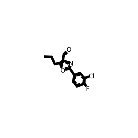 CCCc1oc(-c2ccc(F)c(Cl)c2)nc1C=O